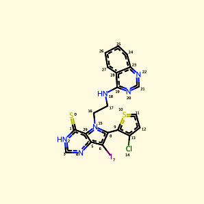 S=c1[nH]cnc2c(I)c(-c3sccc3Cl)n(CCNc3ncnc4ccccc34)c12